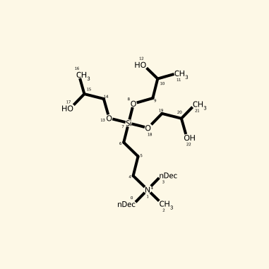 CCCCCCCCCC[N+](C)(CCCCCCCCCC)CCC[Si](OCC(C)O)(OCC(C)O)OCC(C)O